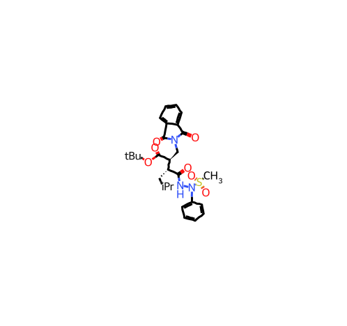 CC(C)C[C@@H](C(=O)NN(c1ccccc1)S(C)(=O)=O)[C@H](CN1C(=O)c2ccccc2C1=O)C(=O)OC(C)(C)C